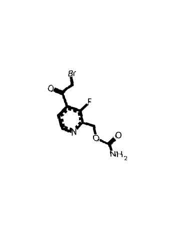 NC(=O)OCc1nccc(C(=O)CBr)c1F